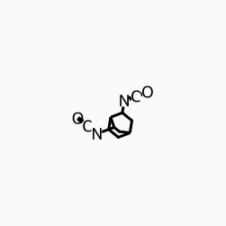 O=C=NC1CC2CCC1C(N=C=O)C2